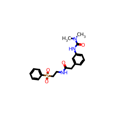 CN(C)C(=O)Nc1cccc(CC(=O)NCCS(=O)(=O)c2ccccc2)c1